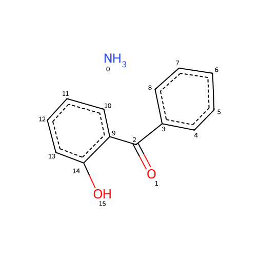 N.O=C(c1ccccc1)c1ccccc1O